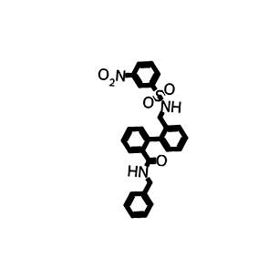 O=C(NCc1ccccc1)c1ccccc1-c1ccccc1CNS(=O)(=O)c1cccc([N+](=O)[O-])c1